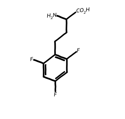 NC(CCc1c(F)cc(F)cc1F)C(=O)O